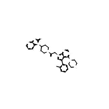 O=C(O)N1CCN(c2ncnc3c2c(-c2ccccc2Cl)cn3CC(=O)N2CCC(n3c(=O)[nH]c4ncccc43)CC2)CC1